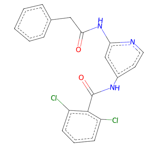 O=C(Cc1ccccc1)Nc1cc(NC(=O)c2c(Cl)cccc2Cl)ccn1